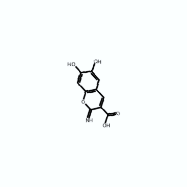 N=c1oc2cc(O)c(O)cc2cc1C(=O)O